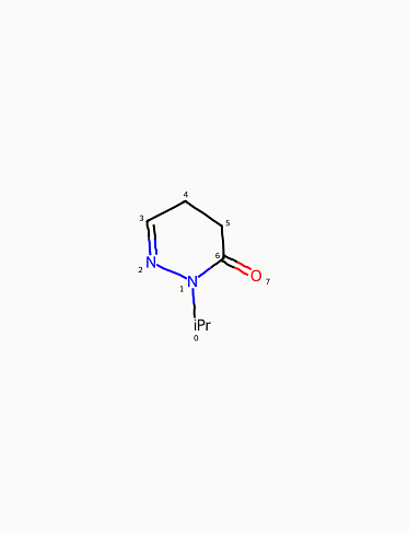 CC(C)N1N=CCCC1=O